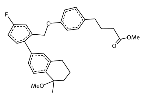 COC(=O)CCCc1ccc(OCc2cc(F)ccc2-c2ccc3c(c2)CCCC3(C)OC)cc1